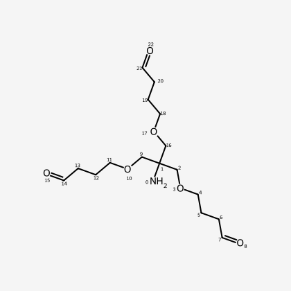 NC(COCCCC=O)(COCCCC=O)COCCCC=O